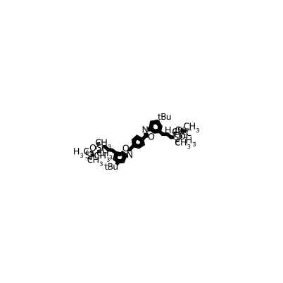 CC(C)(C)c1cc(CCC[Si](C)(C)O[Si](C)(C)C)c2oc(-c3ccc(-c4nc5cc(C(C)(C)C)cc(CCC[Si](C)(C)O[Si](C)(C)C)c5o4)cc3)nc2c1